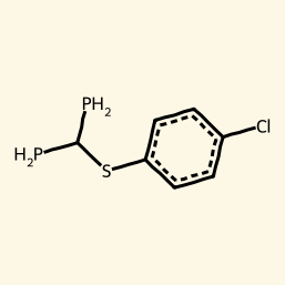 PC(P)Sc1ccc(Cl)cc1